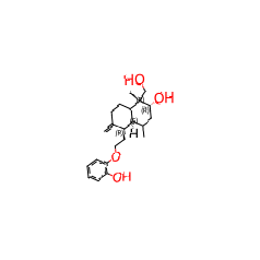 C=C1CCC2[C@@H](C(C)C[C@@H](O)[C@@]2(C)CO)[C@H]1CCOc1ccccc1O